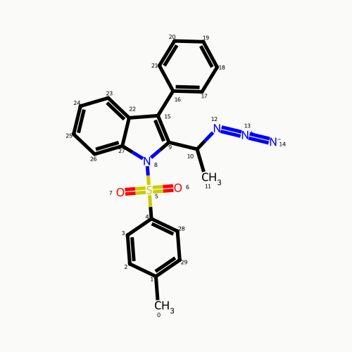 Cc1ccc(S(=O)(=O)n2c(C(C)N=[N+]=[N-])c(-c3ccccc3)c3ccccc32)cc1